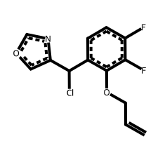 C=CCOc1c(C(Cl)c2cocn2)ccc(F)c1F